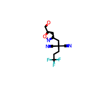 N#CC(C#N)(CCC(F)(F)F)Cc1cc(C=O)on1